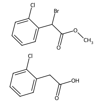 COC(=O)C(Br)c1ccccc1Cl.O=C(O)Cc1ccccc1Cl